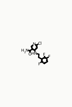 NC(=O)c1cnc(Cl)cc1NCCc1c(F)ccc(F)c1F